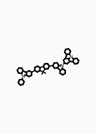 CC1(C)c2cc(-c3ccc4c(c3)c3ccccc3n4-c3ccccc3)ccc2-c2ccc(-c3ccc4c(c3)c3ccccc3n4-c3cc4c5ccccc5n5c6ccccc6c(c3)c45)cc21